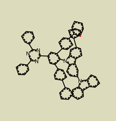 c1ccc(-c2ccc(-c3cc(-c4nc(-c5ccccc5)nc(-c5ccccc5)n4)cc(-c4ccc(-c5ccccc5)cc4)c3-n3c4ccc(-n5c6ccccc6c6ccccc65)cc4c4ccc(-c5ccccc5)cc43)cc2)cc1